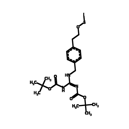 CC(C)(C)OC(=O)N=C(NCc1ccc(CCOSI)cc1)NC(=O)OC(C)(C)C